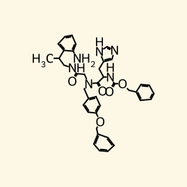 CC(CNC(=O)CN(Cc1ccc(OCc2ccccc2)cc1)C(=O)C(Cc1cnc[nH]1)NC(=O)OCc1ccccc1)c1ccccc1N